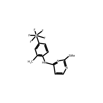 CSc1nccc(Nc2ccc(S(F)(F)(F)(F)F)cc2C)n1